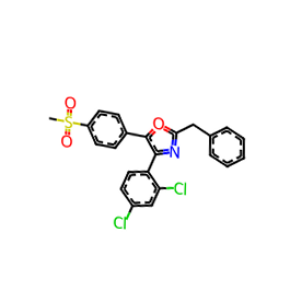 CS(=O)(=O)c1ccc(-c2oc(Cc3ccccc3)nc2-c2ccc(Cl)cc2Cl)cc1